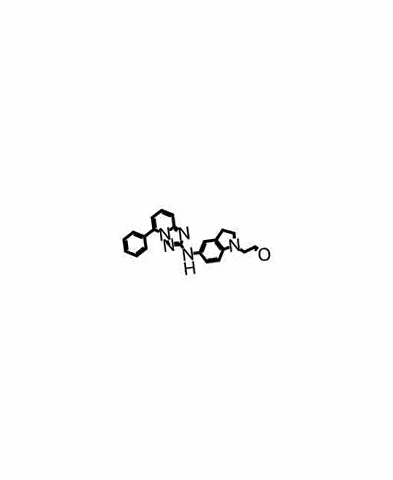 O=CCN1CCc2cc(Nc3nc4cccc(-c5ccccc5)n4n3)ccc21